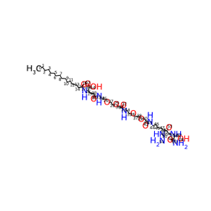 CCCCCCCCCCCCCCCC(=O)NC(CCC(=O)NCCOCCOCC(=O)NCCOCCOCC(=O)NCCCC[C@H](NCN)C(=O)CN[C@@H](CO)C(N)=O)C(=O)O